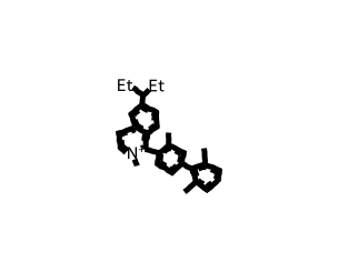 CCC(CC)c1ccc2c(-c3ccc(-c4c(C)cccc4C)cc3C)[n+](C)ccc2c1